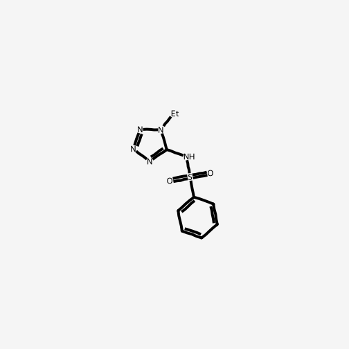 CCn1nnnc1NS(=O)(=O)c1ccccc1